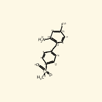 CS(=O)(=O)c1ccc(-c2ccc(F)cc2N)cc1